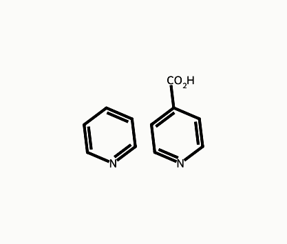 O=C(O)c1ccncc1.c1ccncc1